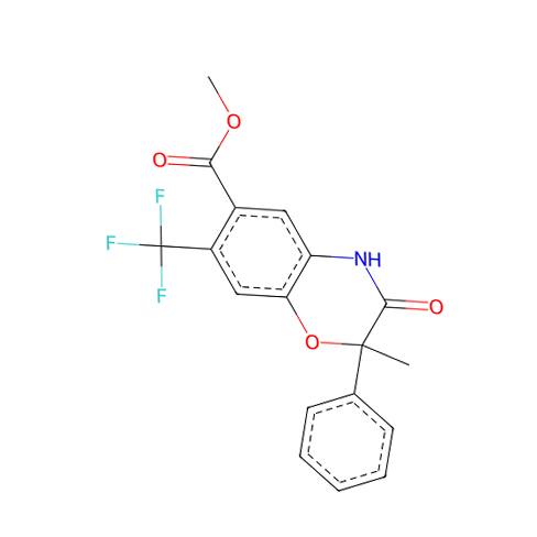 COC(=O)c1cc2c(cc1C(F)(F)F)OC(C)(c1ccccc1)C(=O)N2